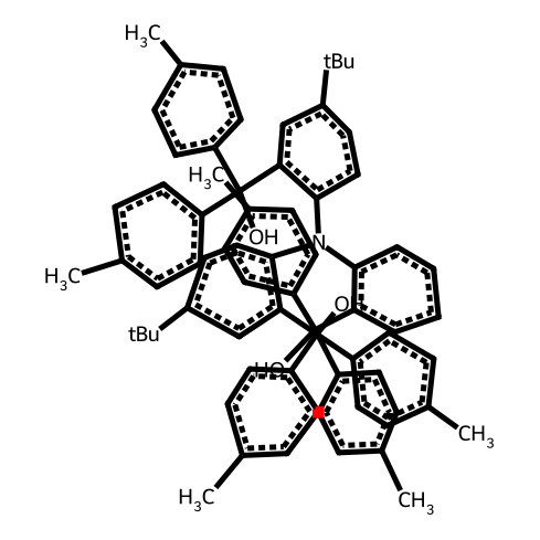 Cc1ccc(C(O)(c2ccc(C)cc2)c2ccccc2N(c2ccc(C(C)(C)C)cc2C(O)(c2ccc(C)cc2)c2ccc(C)cc2)c2ccc(C(C)(C)C)cc2C(O)(c2ccc(C)cc2)c2ccc(C)cc2)cc1